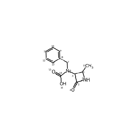 CC1NC(=O)C1N(Cc1ccccc1)C(=O)O